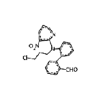 O=Cc1ccccc1-c1ccccc1N(CCCCl)c1ncccc1[N+](=O)[O-]